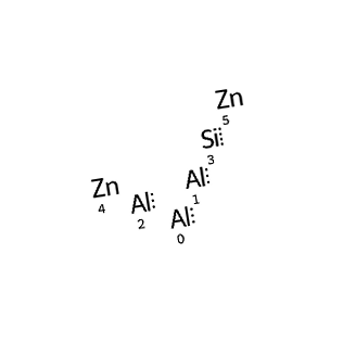 [Al].[Al].[Al].[Si].[Zn].[Zn]